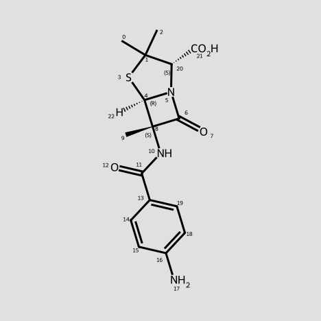 CC1(C)S[C@H]2N(C(=O)[C@]2(C)NC(=O)c2ccc(N)cc2)[C@H]1C(=O)O